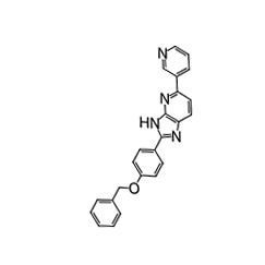 c1ccc(COc2ccc(-c3nc4ccc(-c5cccnc5)nc4[nH]3)cc2)cc1